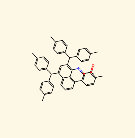 CC(=O)C(C)=Nc1c(C(c2ccc(C)cc2)c2ccc(C)cc2)cc(C(c2ccc(C)cc2)c2ccc(C)cc2)c2cccc(-c3ccc(C)cc3)c12